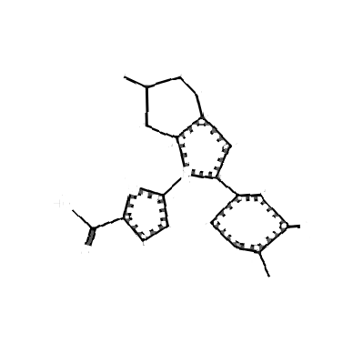 CC1CCc2cc(-c3ccc(Cl)c(Cl)c3)n(-c3ccc(C(=O)O)o3)c2C1